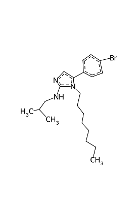 CCCCCCCCn1c(-c2ccc(Br)cc2)cnc1NCC(C)C